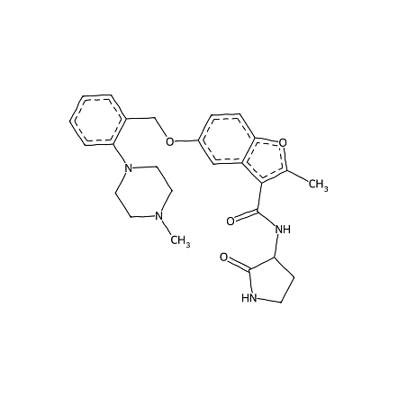 Cc1oc2ccc(OCc3ccccc3N3CCN(C)CC3)cc2c1C(=O)NC1CCNC1=O